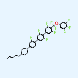 C/C=C/CCC1CCC(c2ccc(-c3cc(F)c(-c4cc(F)c(C(F)(F)Oc5cc(F)c(F)c(F)c5)c(F)c4)c(F)c3)c(F)c2)CC1